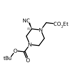 CCOC(=O)CN1CCN(C(=O)OC(C)(C)C)C[C@H]1C#N